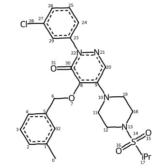 Cc1cccc(COc2c(N3CCN(S(=O)(=O)C(C)C)CC3)cnn(-c3cccc(Cl)c3)c2=O)c1